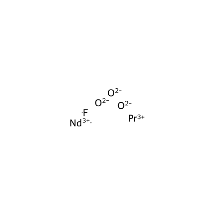 [F].[Nd+3].[O-2].[O-2].[O-2].[Pr+3]